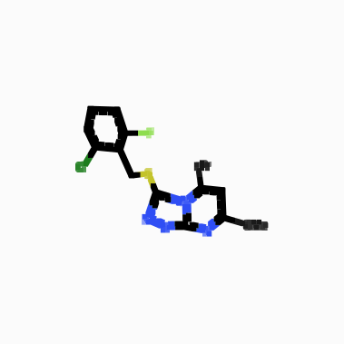 CCCc1cc(OC)nc2nnc(SCc3c(F)cccc3Cl)n12